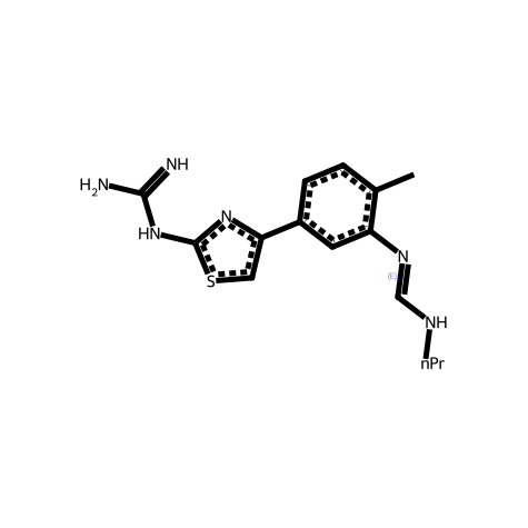 CCCN/C=N/c1cc(-c2csc(NC(=N)N)n2)ccc1C